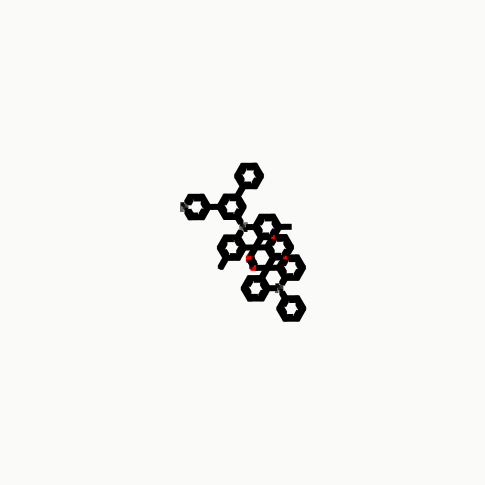 Cc1ccc2c(c1)C1(c3cc(C)ccc3N2c2cc(-c3ccccc3)cc(-c3ccncc3)c2)c2ccccc2C2(c3ccccc3N(c3ccccc3)c3ccccc32)c2ccccc21